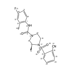 C[C@H]1CN(C(=O)Nc2ccc(F)cc2F)CCN1S(=O)(=O)c1ccccc1C#N